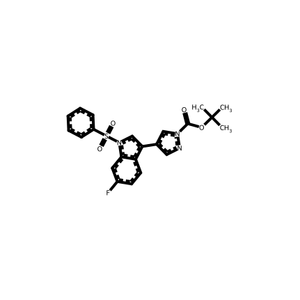 CC(C)(C)OC(=O)n1cc(-c2cn(S(=O)(=O)c3ccccc3)c3cc(F)ccc23)cn1